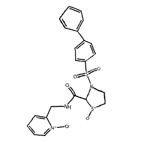 O=C(NCc1cccc[n+]1[O-])C1N(S(=O)(=O)c2ccc(-c3ccccc3)cc2)CC[S+]1[O-]